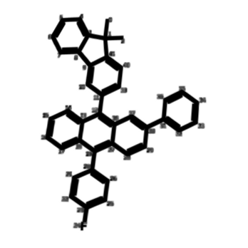 CC1(C)c2ccccc2-c2cc(-c3c4ccccc4c(-c4ccc(F)cc4)c4ccc(-c5ccccc5)cc34)ccc21